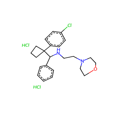 Cl.Cl.Clc1ccc(C2(C(NCCN3CCOCC3)c3ccccc3)CCC2)cc1